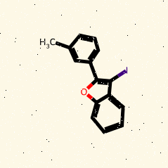 Cc1cccc(-c2oc3ccccc3c2I)c1